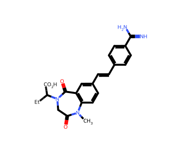 CCC(C(=O)O)N1CC(=O)N(C)c2ccc(C=Cc3ccc(C(=N)N)cc3)cc2C1=O